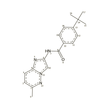 Cc1ccc2nc(NC(=O)c3ccc(C(C)(C)C)cc3)cn2n1